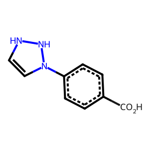 O=C(O)c1ccc(N2C=CNN2)cc1